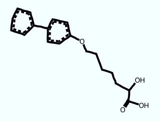 O=C(O)C(O)CCCCCOc1ccc(-c2ccccc2)cc1